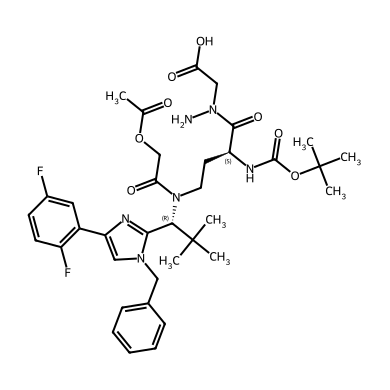 CC(=O)OCC(=O)N(CC[C@H](NC(=O)OC(C)(C)C)C(=O)N(N)CC(=O)O)[C@@H](c1nc(-c2cc(F)ccc2F)cn1Cc1ccccc1)C(C)(C)C